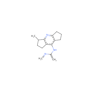 C=NC(=C)Nc1c2c(nc3c1CCC3C)CCC2